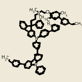 C=Cc1ccc(-c2ccc3c(c2)c2cc(-c4ccc(N(c5ccc(-c6ccccc6)cc5)c5ccc6c(c5)C(CCCS(C)(C)CCOc5cc(C)c(-c7ccc(C=C)cc7)cc5C)(c5ccccc5)c5ccccc5-6)cc4)ccc2n3-c2ccccc2)cc1